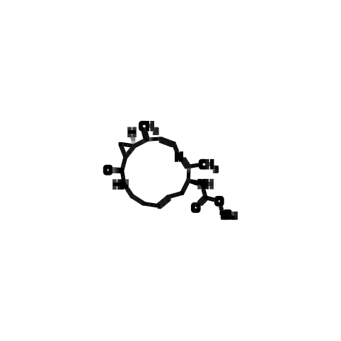 C=C1/C=C\N=C(/C)[C@@H](NC(=O)OC(C)(C)C)C/C=C/CCNC(=O)C2C[C@@H]12